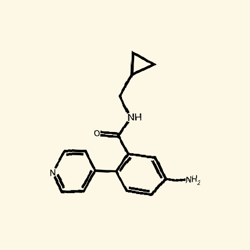 Nc1ccc(-c2ccncc2)c(C(=O)NCC2CC2)c1